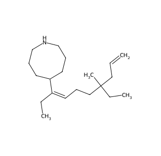 C=CCC(C)(CC)CC/C=C(/CC)C1CCCNCCC1